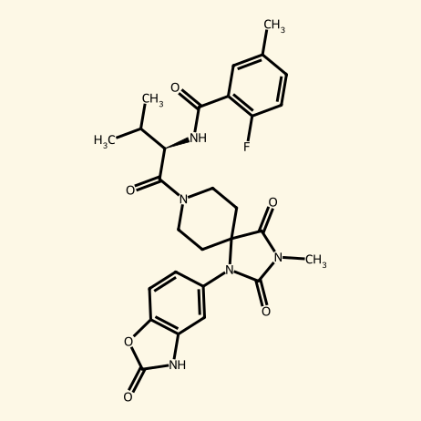 Cc1ccc(F)c(C(=O)N[C@@H](C(=O)N2CCC3(CC2)C(=O)N(C)C(=O)N3c2ccc3oc(=O)[nH]c3c2)C(C)C)c1